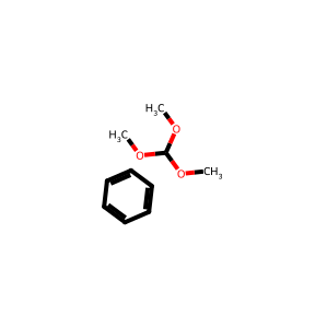 COC(OC)OC.c1ccccc1